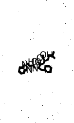 CC(C)CCC(CC(O)C(Cc1ccccc1)NC(=O)c1cnc2ccccc2n1)C(=O)O